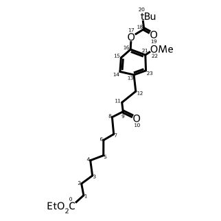 CCOC(=O)CCCCCCCCC(=O)CCc1ccc(OC(=O)C(C)(C)C)c(OC)c1